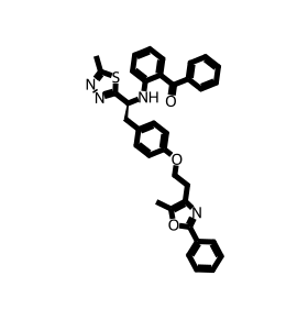 Cc1nnc([C@H](Cc2ccc(OCCc3nc(-c4ccccc4)oc3C)cc2)Nc2ccccc2C(=O)c2ccccc2)s1